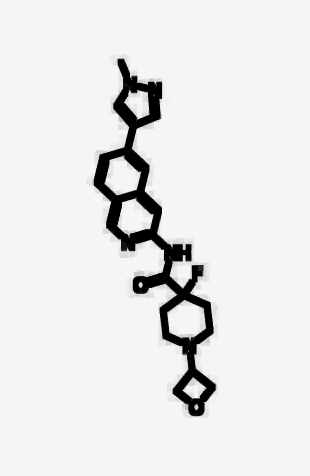 Cn1cc(-c2ccc3cnc(NC(=O)C4(F)CCN(C5COC5)CC4)cc3c2)cn1